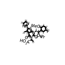 COc1ccc(F)cc1[C@H](Cn1c(=O)n([C@@H](C)C(=O)O)c(=O)c2c(C)c(-n3nccn3)sc21)OC(C)C